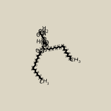 CCCCCCCC/C=C\CCCCCCCC(=O)OC[C@H](COP(=O)(O)OC[C@@H](N)C(=O)O)OC(=O)CCCCCCC/C=C\CCCCCCCC